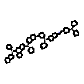 C(=C\c1ccc2cc(N(c3ccccc3)c3cccc(-c4ccc5ccc(N(c6ccccc6)c6ccc7cc(N(c8ccccc8)c8ccc9ccccc9c8)c8ccccc8c7c6)cc5c4)c3)ccc2c1)/c1ccc(N(c2ccccc2)c2ccccc2)cc1